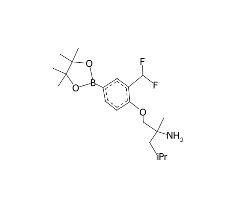 CC(C)CC(C)(N)COc1ccc(B2OC(C)(C)C(C)(C)O2)cc1C(F)F